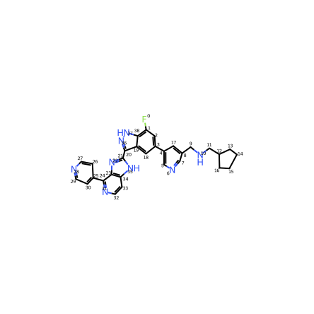 Fc1cc(-c2cncc(CNCC3CCCC3)c2)cc2c(-c3nc4c(-c5ccncc5)nccc4[nH]3)n[nH]c12